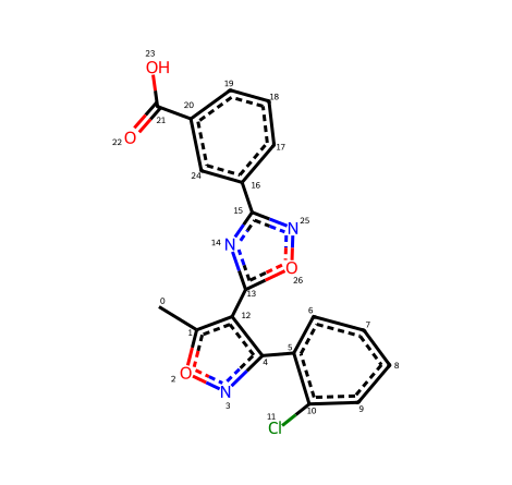 Cc1onc(-c2ccccc2Cl)c1-c1nc(-c2cccc(C(=O)O)c2)no1